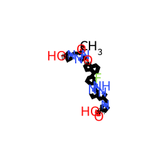 COc1nc(O[C@@H]2CCc3c(-c4cccc(Nc5nccc6cc(CN7CC[C@@H](C(=O)O)C7)cnc56)c4F)cccc32)cnc1CN1CC[C@@H](O)C1